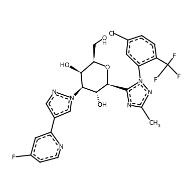 Cc1nc([C@@H]2O[C@H](CO)[C@H](O)[C@H](n3cc(-c4cc(F)ccn4)cn3)[C@H]2O)n(-c2cc(Cl)ccc2C(F)(F)F)n1